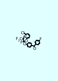 O=C(c1ccc(F)cc1)c1ccc(OC(F)(Oc2cccc(Cl)n2)C(F)C(F)(F)F)cc1